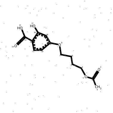 CC(=O)OCCCCOc1ccc(C(=O)O)c(O)c1